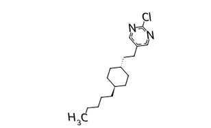 CCCCC[C@H]1CC[C@H](CCc2cnc(Cl)nc2)CC1